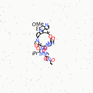 C=CC(=O)N1CO[C@]2(CCN(C(=O)N(C)[C@H](C(=O)N[C@H]3C[C@H]4CN(CCO4)c4ccc5c(c4)c(c(-c4cccnc4[C@H](C)OC)n5CC)CC(C)(C)COC(=O)[C@@H]4CCCN(N4)C3=O)C(C)C)C2)C1